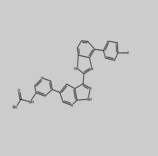 CCC(C)C(=O)Nc1cncc(-c2cnc3[nH]nc(-c4nc5c(-c6ccc(F)cc6)cccc5[nH]4)c3c2)c1